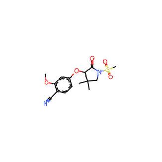 COc1cc(OC2C(=O)N(S(C)(=O)=O)CC2(C)C)ccc1C#N